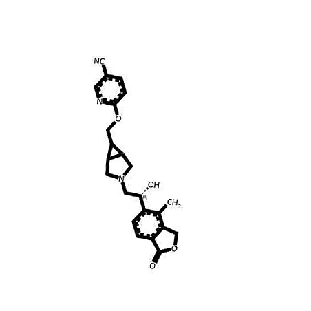 Cc1c([C@@H](O)CN2CC3C(COc4ccc(C#N)cn4)C3C2)ccc2c1COC2=O